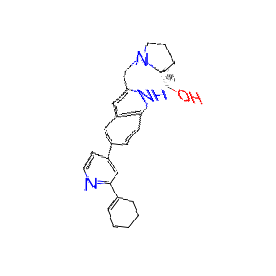 OC[C@H]1CCCN1Cc1cc2cc(-c3ccnc(C4=CCCCC4)c3)ccc2[nH]1